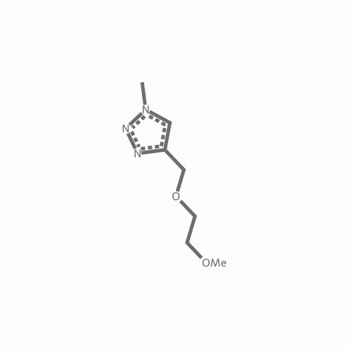 COCCOCc1cn(C)nn1